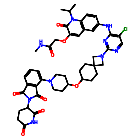 CNC(=O)COc1cc2cc(Nc3nc(N4CC5(CCC(OC6CCN(c7cccc8c7C(=O)N(C7CCC(=O)NC7=O)C8=O)CC6)CC5)C4)ncc3Cl)ccc2n(C(C)C)c1=O